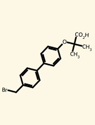 CC(C)(Oc1ccc(-c2ccc(CBr)cc2)cc1)C(=O)O